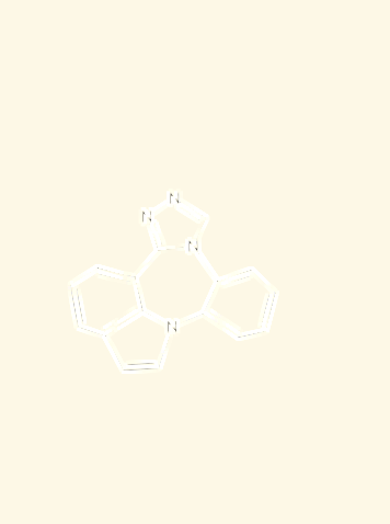 c1cc2ccn3c4ccccc4n4cnnc4c(c1)c23